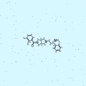 Cc1cccc(C(=O)N2CC3CN(CC[C@H](N)c4ccccc4)CC3C2)c1C